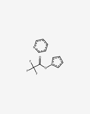 O=C(On1cccc1)C(F)(F)F.c1ccncc1